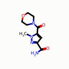 Cn1nc(C(N)=O)[c]c1C(=O)N1CCOCC1